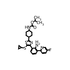 CC(C)OC(=O)NC1CCC(c2nc(-c3cccc(-c4ccc(F)cn4)c3N)c(SC3CC3)s2)CC1